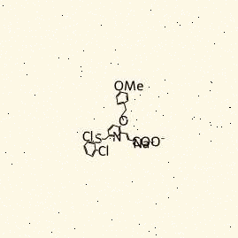 COc1ccc(CCOc2ccc(CSc3c(Cl)cccc3Cl)nc2/C=C/C(=O)[O-])cc1.[Na+]